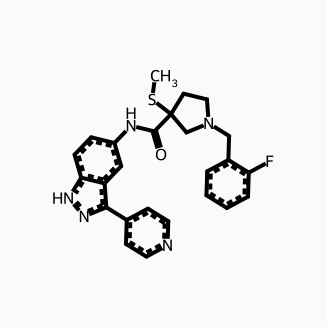 CSC1(C(=O)Nc2ccc3[nH]nc(-c4ccncc4)c3c2)CCN(Cc2ccccc2F)C1